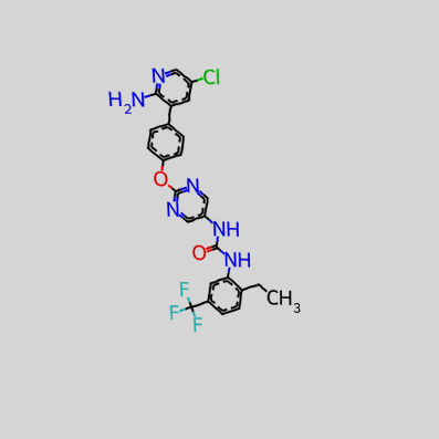 CCc1ccc(C(F)(F)F)cc1NC(=O)Nc1cnc(Oc2ccc(-c3cc(Cl)cnc3N)cc2)nc1